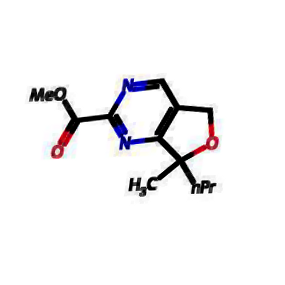 CCCC1(C)OCc2cnc(C(=O)OC)nc21